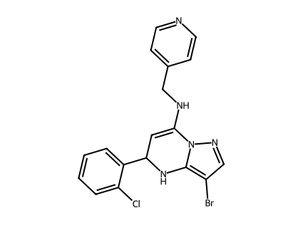 Clc1ccccc1C1C=C(NCc2ccncc2)n2ncc(Br)c2N1